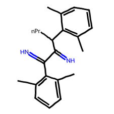 CCCC(C(=N)C(=N)c1c(C)cccc1C)c1c(C)cccc1C